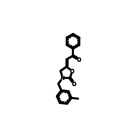 Cc1cccc(CN2CC(=CC(=O)c3ccccc3)OC2=O)c1